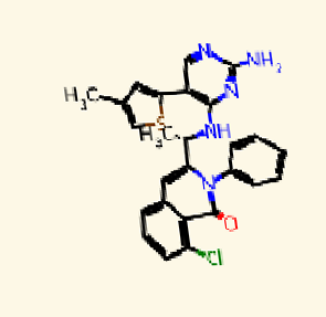 Cc1csc(-c2cnc(N)nc2N[C@@H](C)c2cc3cccc(Cl)c3c(=O)n2-c2ccccc2)c1